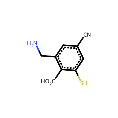 N#Cc1cc(S)c(C(=O)O)c(CN)c1